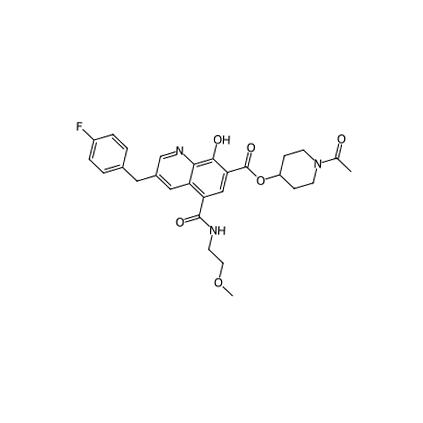 COCCNC(=O)c1cc(C(=O)OC2CCN(C(C)=O)CC2)c(O)c2ncc(Cc3ccc(F)cc3)cc12